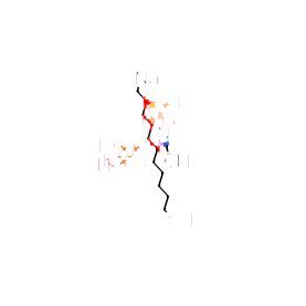 CC#N.CCCCCCCCCCC[CH2][Na].O=P(O)(O)O.O=S(=O)([O-])O.[K+]